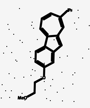 COCCOc1ccc2c3cccc(C(C)C)cc-3cc2c1